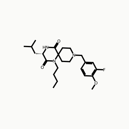 CCCCN1C(=O)[C@H](CC(C)C)NC(=O)C12CCN(Cc1ccc(OC)c(F)c1)CC2